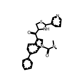 CN(C)C(=O)n1cc(C(=O)C2CSC(c3cccnc3)N2)c2ccc(-c3ccccc3)cc21